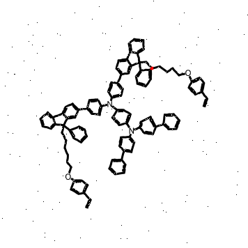 C=Cc1ccc(OCCCCCCC2(c3ccccc3)c3ccccc3-c3ccc(-c4ccc(N(c5ccc(-c6ccc7c(c6)C(CCCCCCOc6ccc(C=C)cc6)(c6ccccc6)c6ccccc6-7)cc5)c5ccc(N(c6ccc(-c7ccccc7)cc6)c6ccc(-c7ccccc7)cc6)cc5)cc4)cc32)cc1